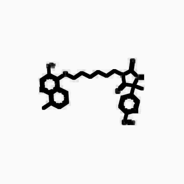 CCCc1cnc2c(C)cccc2c1OCCCCCCN1C(=O)NC(C)(c2ccc(OC)nc2)C1=O